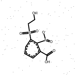 O=C(O)c1cccc(S(=O)(=O)CCO)c1[N+](=O)[O-]